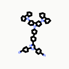 N#Cc1ccc(-c2cc(-c3ccc(-c4ccc(-n5c6ccc(-n7c8ccccc8c8ccccc87)cc6c6cc(-n7c8ccccc8c8ccccc87)ccc65)cc4)cc3)nc(-c3ccc(C#N)cc3)n2)cc1